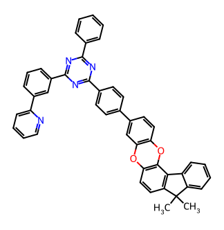 CC1(C)c2ccccc2-c2c1ccc1c2Oc2ccc(-c3ccc(-c4nc(-c5ccccc5)nc(-c5cccc(-c6ccccn6)c5)n4)cc3)cc2O1